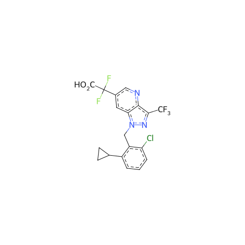 O=C(O)C(F)(F)c1cnc2c(C(F)(F)F)nn(Cc3c(Cl)cccc3C3CC3)c2c1